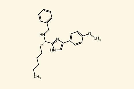 CCCCCC[C@H](NCc1ccccc1)c1nc(-c2ccc(OC)cc2)c[nH]1